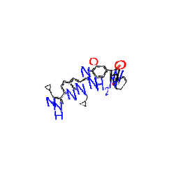 COc1cc(C(=O)N2CC3CCC2[C@@H]3N)cc2nc(-c3cc4ccc(-c5c[nH]nc5C5CC5)nc4n3CC3CC3)n(C)c12